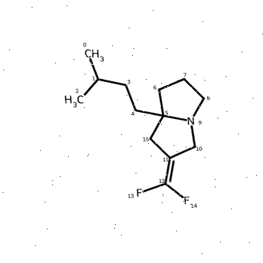 CC(C)CCC12CCCN1CC(=C(F)F)C2